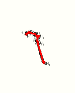 Cn1cc(NC(=O)c2nc(NC(=O)CCNC(=O)c3cc(NC(=O)c4nccn4C)cn3C)cn2C)cc1C(=O)NCCC(=O)Nc1cn(C)c(C(=O)NCCOCCOCCOCCOCCOCCOCCOCCOCCOc2ccc(N)cc2)n1